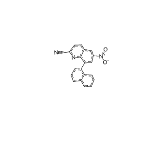 N#Cc1ccc2cc([N+](=O)[O-])cc(-c3cccc4ccccc34)c2n1